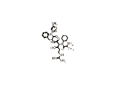 C[C@H](N)C(=O)N(C1CCCCC1)[C@H](C(=O)N[C@@H](Cc1ccccc1)C(=O)Nn1cc(N)nn1)C(=C=O)CCNC(=N)N